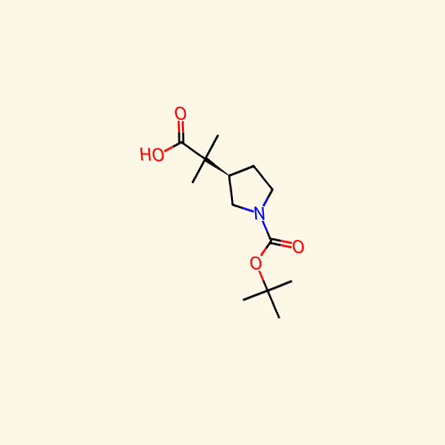 CC(C)(C)OC(=O)N1CC[C@H](C(C)(C)C(=O)O)C1